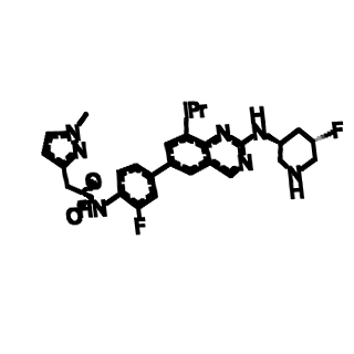 CC(C)c1cc(-c2ccc(NS(=O)(=O)Cc3ccn(C)n3)c(F)c2)cc2cnc(N[C@@H]3CNC[C@@H](F)C3)nc12